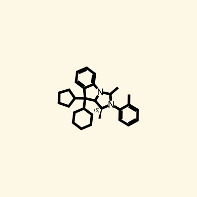 Cc1ccccc1N1C(C)N2c3ccccc3C(C3CCCCC3)(C3CCCC3)C2[C@@H]1C